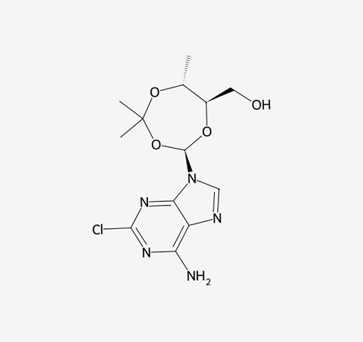 C[C@H]1OC(C)(C)O[C@H](n2cnc3c(N)nc(Cl)nc32)O[C@@H]1CO